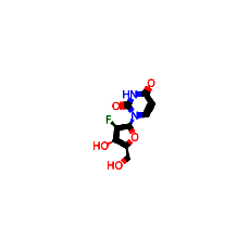 O=c1ccn([C@H]2O[C@@H](CO)[C@H](O)[C@H]2F)c(=O)[nH]1